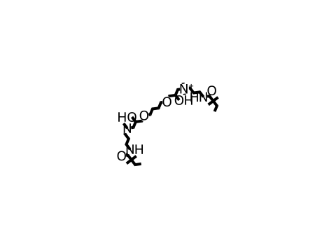 CCC(C)(C)C(=O)NCCCN(C)CC(O)COCCCCOCC(O)C[N+](C)(C)CCCNC(=O)C(C)(C)CC